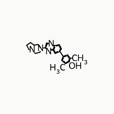 Cc1cc(-c2ccc3ncc(N4CCN5CCCC5C4)nc3c2)cc(C)c1O